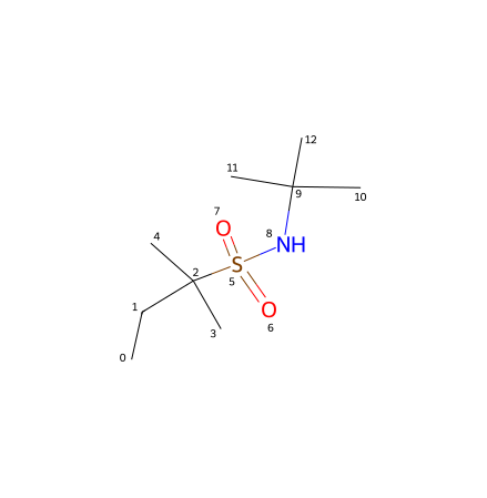 CCC(C)(C)S(=O)(=O)NC(C)(C)C